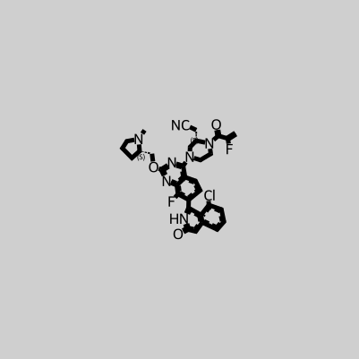 C=C(F)C(=O)N1CCN(c2nc(OC[C@@H]3CCCN3C)nc3c(F)c(-c4[nH]c(=O)cc5cccc(Cl)c45)ccc23)C[C@@H]1CC#N